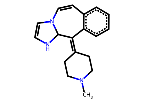 CN1CCC(=C2c3ccccc3C=CN3C=CNC23)CC1